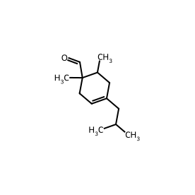 CC(C)CC1=CCC(C)(C=O)C(C)C1